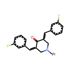 CC(C)N1CC(=Cc2cccc(F)c2)C(=O)C(=Cc2cccc(F)c2)C1